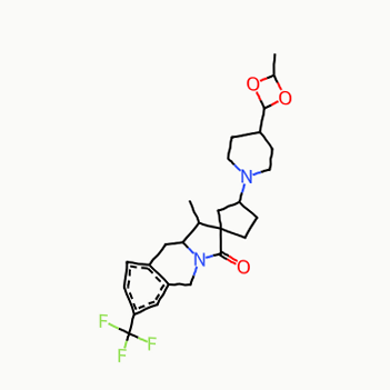 CC1OC(C2CCN(C3CCC4(C3)C(=O)N3Cc5cc(C(F)(F)F)ccc5CC3C4C)CC2)O1